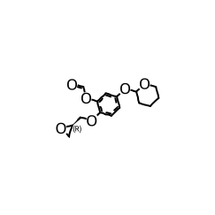 O=COc1cc(OC2CCCCO2)ccc1OC[C@H]1CO1